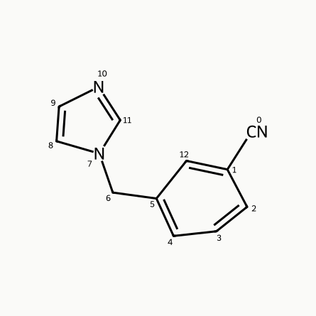 N#Cc1cccc(Cn2ccnc2)c1